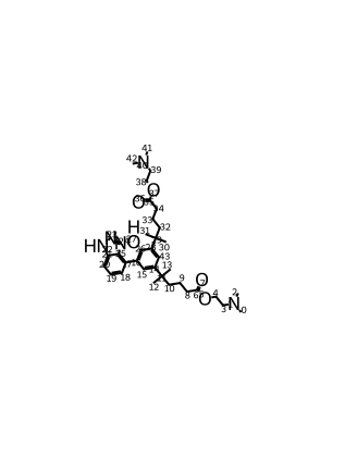 CN(C)CCOC(=O)CCCC(C)(C)c1cc(-c2cccc3[nH]nnc23)c(O)c(C(C)(C)CCCC(=O)OCCN(C)C)c1